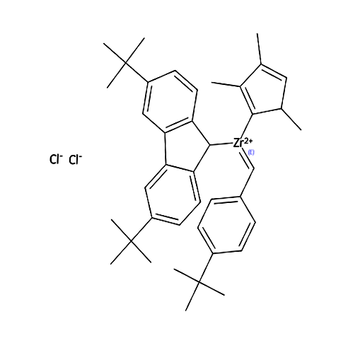 CC1=CC(C)[C](/[Zr+2](=[CH]/c2ccc(C(C)(C)C)cc2)[CH]2c3ccc(C(C)(C)C)cc3-c3cc(C(C)(C)C)ccc32)=C1C.[Cl-].[Cl-]